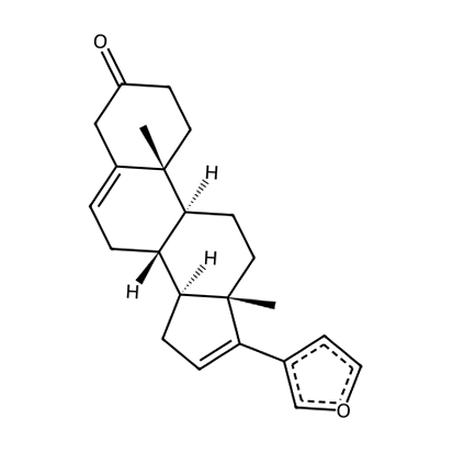 C[C@]12CCC(=O)CC1=CC[C@@H]1[C@@H]2CC[C@]2(C)C(c3ccoc3)=CC[C@@H]12